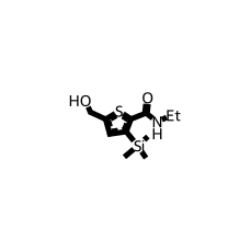 CCNC(=O)c1sc(CO)cc1[Si](C)(C)C